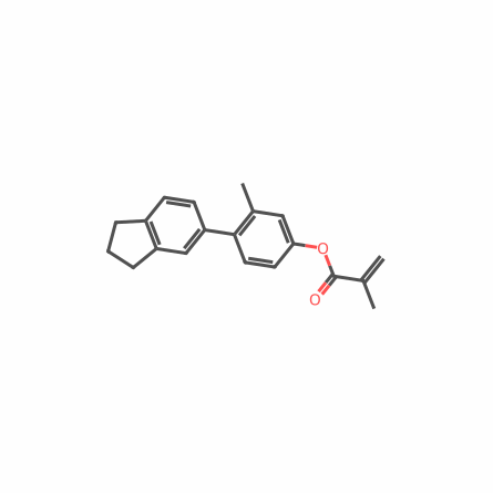 C=C(C)C(=O)Oc1ccc(-c2ccc3c(c2)CCC3)c(C)c1